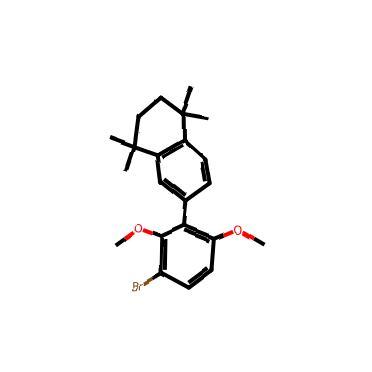 COc1ccc(Br)c(OC)c1-c1ccc2c(c1)C(C)(C)CCC2(C)C